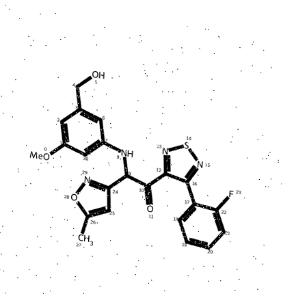 COc1cc(CO)cc(NC(C(=O)c2nsnc2-c2ccccc2F)c2cc(C)on2)c1